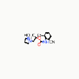 CCc1cccc(C#N)c1NC(=O)OC(Cn1cccn1)C(=O)O